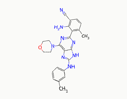 Cc1cccc(Nc2nc3c(N4CCOCC4)nc(-c4c(C)ccc(C#N)c4N)nc3[nH]2)c1